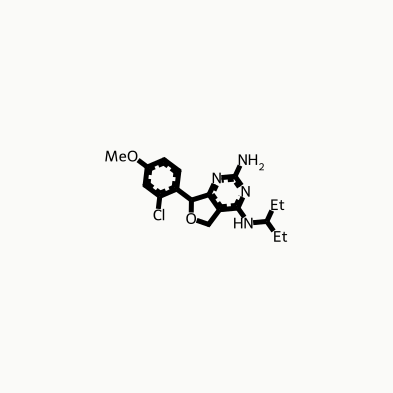 CCC(CC)Nc1nc(N)nc2c1COC2c1ccc(OC)cc1Cl